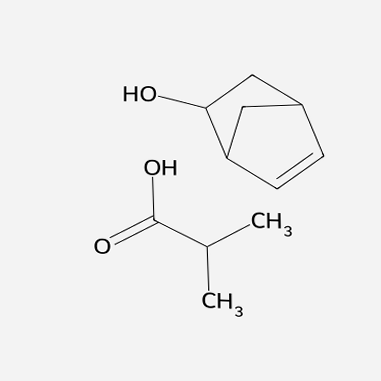 CC(C)C(=O)O.OC1CC2C=CC1C2